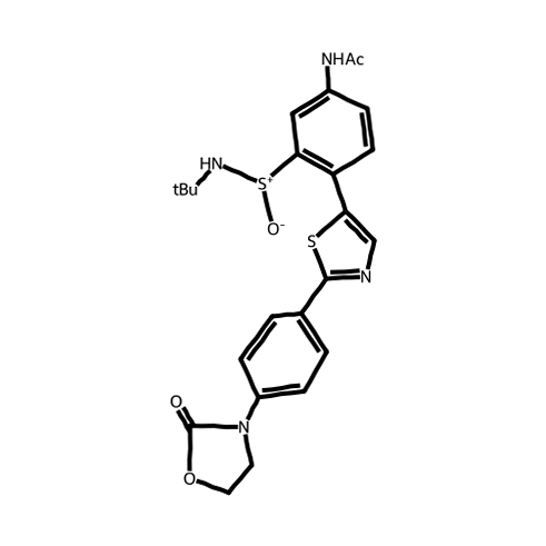 CC(=O)Nc1ccc(-c2cnc(-c3ccc(N4CCOC4=O)cc3)s2)c([S+]([O-])NC(C)(C)C)c1